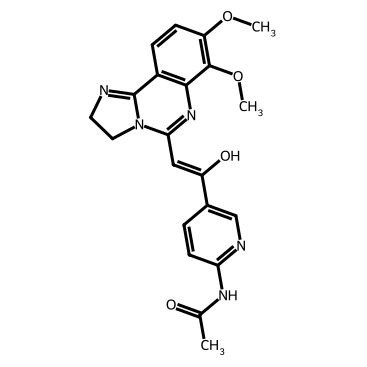 COc1ccc2c(c1OC)N=C(C=C(O)c1ccc(NC(C)=O)nc1)N1CCN=C21